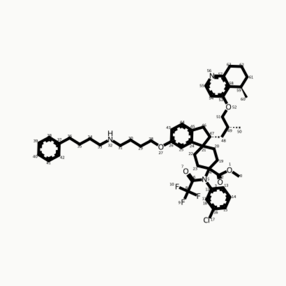 COC(=O)C1(N(C(=O)C(F)(F)F)c2cccc(Cl)c2)CCC2(CC1)c1cc(OCCCCNCCCCc3ccccc3)ccc1C[C@@H]2C[C@@H](C)COc1ccnc2c1[C@H](C)CCC2